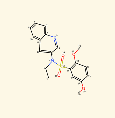 CCN(c1cnc2ccccc2c1)S(=O)(=O)c1cc(OC)ccc1OC